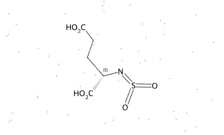 O=C(O)CC[C@H](N=S(=O)=O)C(=O)O